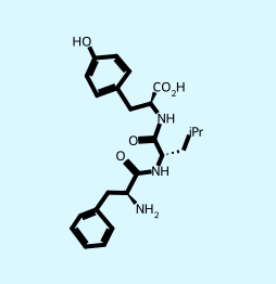 CC(C)C[C@H](NC(=O)[C@@H](N)Cc1ccccc1)C(=O)N[C@@H](Cc1ccc(O)cc1)C(=O)O